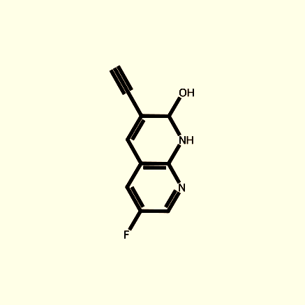 C#CC1=Cc2cc(F)cnc2NC1O